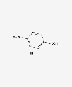 COc1ccc(S(=O)(=O)O)cc1.F